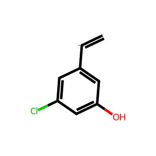 C=[C]c1cc(O)cc(Cl)c1